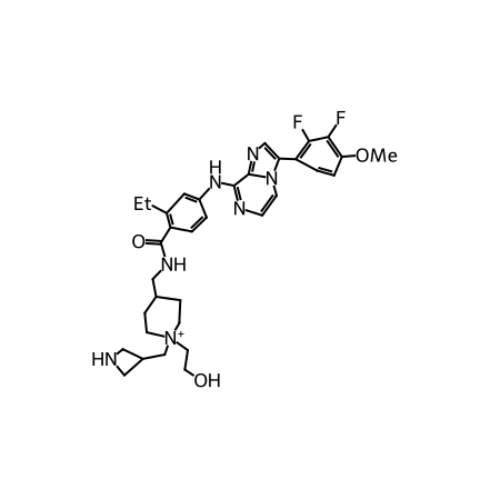 CCc1cc(Nc2nccn3c(-c4ccc(OC)c(F)c4F)cnc23)ccc1C(=O)NCC1CC[N+](CCO)(CC2CNC2)CC1